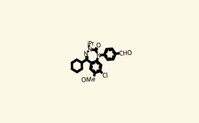 COc1cc2c(cc1Cl)N(c1ccc(C=O)cc1)C(=O)N(C(C)C)N=C2C1CCCCC1